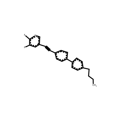 CCCCc1ccc(-c2ccc(C#Cc3cnc(F)c(F)c3)cc2)cc1